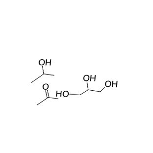 CC(C)=O.CC(C)O.OCC(O)CO